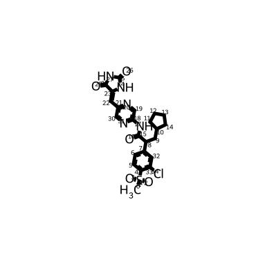 CS(=O)(=O)c1ccc(C(CC2CCCC2)C(=O)Nc2cnc(/C=C3\NC(=O)NC3=O)cn2)cc1Cl